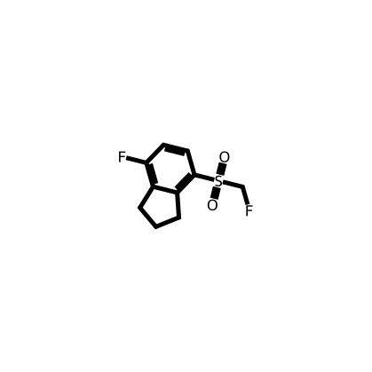 O=S(=O)(CF)c1ccc(F)c2c1CCC2